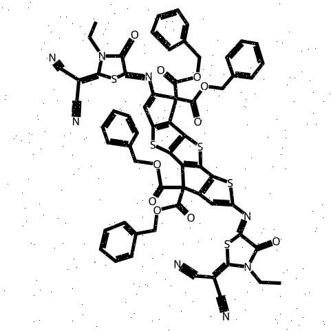 CCN1C(=O)/C(=N/C2=Cc3sc4c5c(sc4c3C2(C(=O)OCc2ccccc2)C(=O)OCc2ccccc2)-c2sc(/N=C3\SC(=C(C#N)C#N)N(CC)C3=O)cc2C5(C(=O)OCc2ccccc2)C(=O)OCc2ccccc2)SC1=C(C#N)C#N